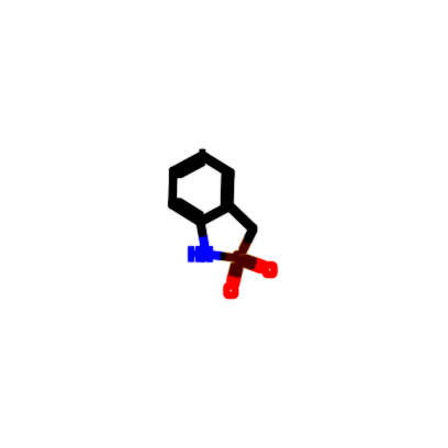 O=S1(=O)Cc2c[c]ccc2N1